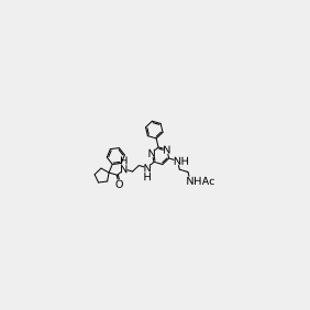 CC(=O)NCCNc1cc(NCCNC(=O)C2(c3ccccc3)CCCC2)nc(-c2ccccc2)n1